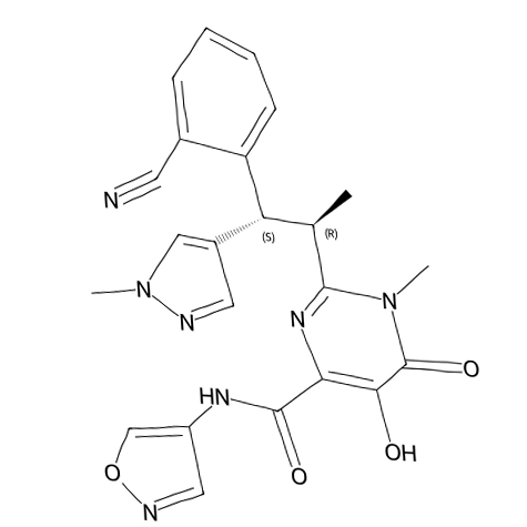 C[C@@H](c1nc(C(=O)Nc2cnoc2)c(O)c(=O)n1C)[C@H](c1cnn(C)c1)c1ccccc1C#N